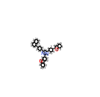 c1ccc2oc(-c3ccc(-c4cc(-c5ccc(-c6cccc7ccccc67)cc5)nc(-c5ccc6c(c5)oc5ccccc56)n4)cc3)cc2c1